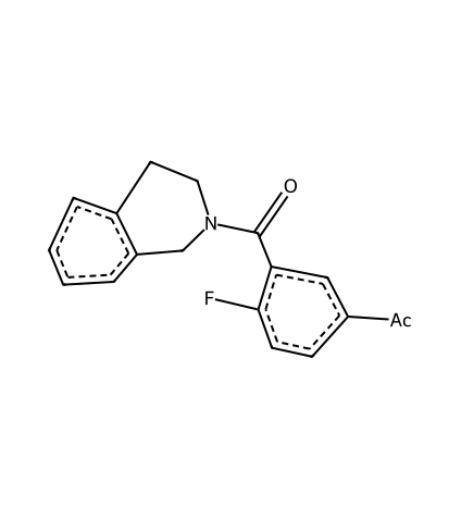 CC(=O)c1ccc(F)c(C(=O)N2CCc3ccccc3C2)c1